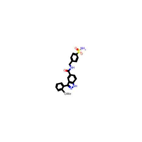 COc1ccccc1-c1n[nH]c2ccc(C(=O)NCc3ccc(S(N)(=O)=O)cc3)cc12